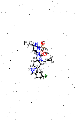 CN(C)C1(c2cccc(F)c2)CCC2(CC1)CN(c1cc(C(F)(F)F)nn1S(C)(=O)=O)C(=O)N2CC1CC1